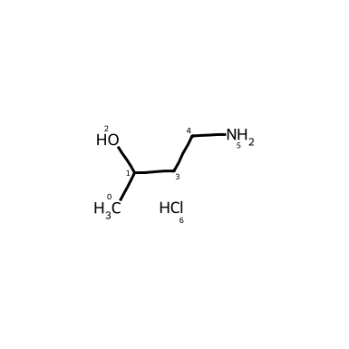 CC(O)CCN.Cl